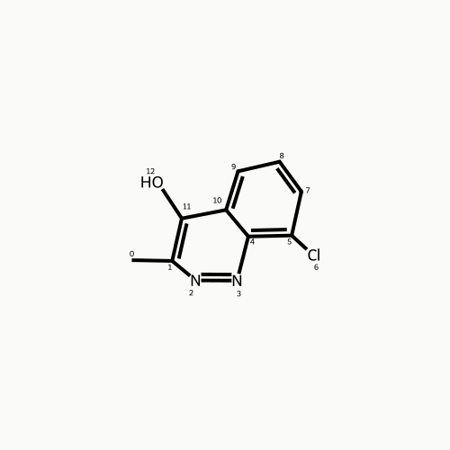 Cc1nnc2c(Cl)cccc2c1O